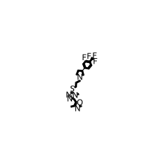 Cc1ncoc1-c1nnc(SCCCN2CC[C@@H](c3ccc(C(F)(F)F)c(F)c3)C2)n1C